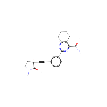 CN1CC[C@@](O)(C#Cc2cccc(-c3nc4c(c(C(N)=O)n3)CCCC4)c2)C1=O